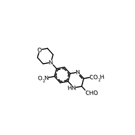 O=CC1Nc2cc([N+](=O)[O-])c(N3CCOCC3)cc2N=C1C(=O)O